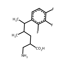 CC(CC(CN)C(=O)O)C(C)c1ccc(F)c(F)c1F